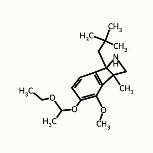 CCOC(C)Oc1ccc2c(c1OC)C1(C)CNC21CC(C)(C)C